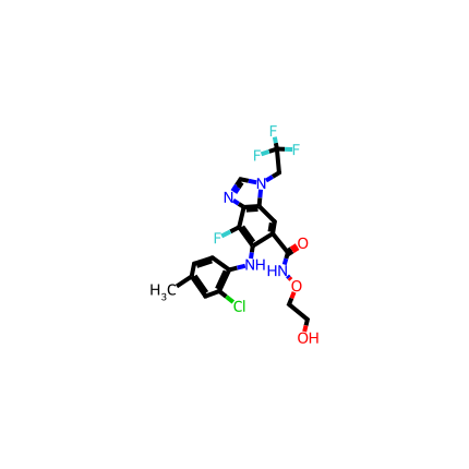 Cc1ccc(Nc2c(C(=O)NOCCO)cc3c(ncn3CC(F)(F)F)c2F)c(Cl)c1